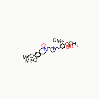 COc1cc2c(cc1OC)CC(=O)N(CC1CCCN(CCc3ccc(OS(C)(=O)=O)c(OC)c3)C1)CC2